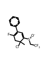 CC1(Cl)CC(F)=C(c2ccccc2)C=C1[S+]([O-])CC(F)(F)F